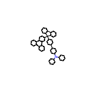 c1ccc(N(c2ccccc2)c2ccc(-c3ccc(C4(c5ccc6c7ccccc7c7ccccc7c6c5)c5ccccc5-c5ccccc54)cc3)cc2)cc1